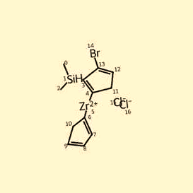 C[SiH](C)C1=[C]([Zr+2][C]2=CC=CC2)CC=C1Br.[Cl-].[Cl-]